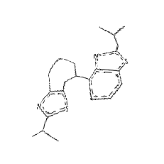 CC(C)c1nc2c(s1)C(c1cccc3sc(C(C)C)nc13)CCC2